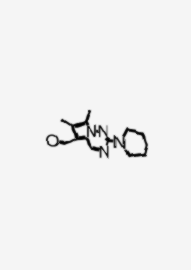 Cc1c(C=O)c2cnc(N3CCCCC3)nn2c1C